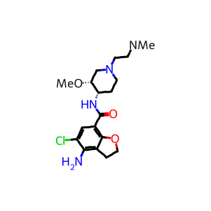 CNCCN1CC[C@H](NC(=O)c2cc(Cl)c(N)c3c2OCC3)[C@H](OC)C1